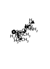 CC(C)OC(=O)[C@H](C)N[P@](=O)(OC[C@H]1O[C@@H](n2cnc3c(NC4CC4)nc(N)nc32)CC1C)Oc1ccccc1